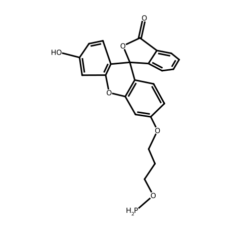 O=C1OC2(c3ccc(O)cc3Oc3cc(OCCCOP)ccc32)c2ccccc21